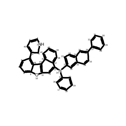 C1=CNCC(c2cccc3oc4cc(N(c5ccccc5)c5ccc6cc(-c7ccccc7)ccc6c5)c5ccccc5c4c23)=C1